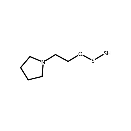 SSOCCN1CCCC1